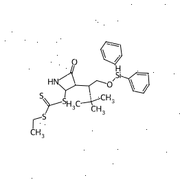 CCSC(=S)SC1NC(=O)C1C(CO[SiH](c1ccccc1)c1ccccc1)C(C)(C)C